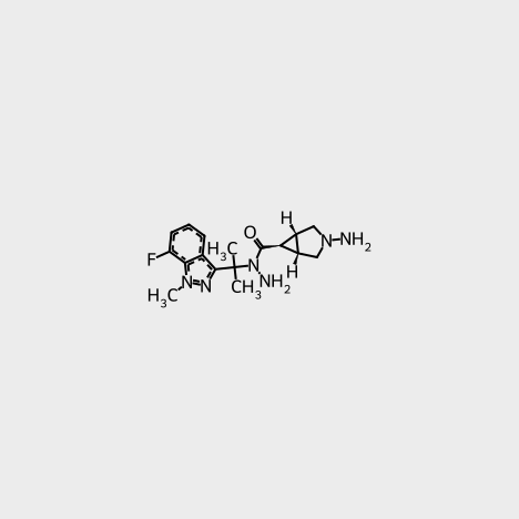 Cn1nc(C(C)(C)N(N)C(=O)[C@H]2[C@@H]3CN(N)C[C@@H]32)c2cccc(F)c21